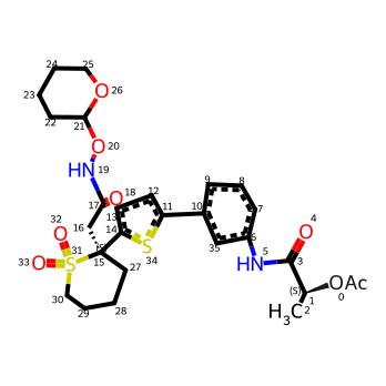 CC(=O)O[C@@H](C)C(=O)Nc1cccc(-c2ccc([C@@]3(CC(=O)NOC4CCCCO4)CCCCS3(=O)=O)s2)c1